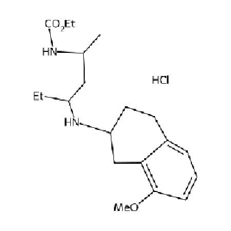 CCOC(=O)NC(C)CC(CC)NC1CCc2cccc(OC)c2C1.Cl